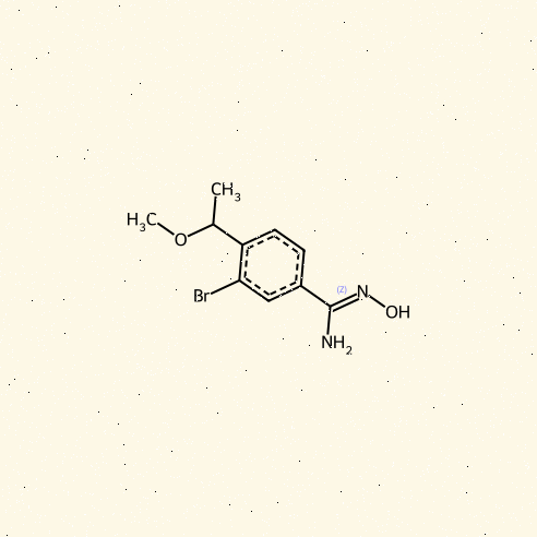 COC(C)c1ccc(/C(N)=N/O)cc1Br